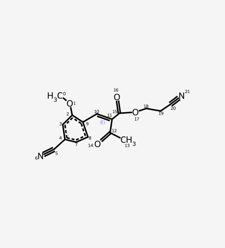 COc1cc(C#N)ccc1/C=C(\C(C)=O)C(=O)OCCC#N